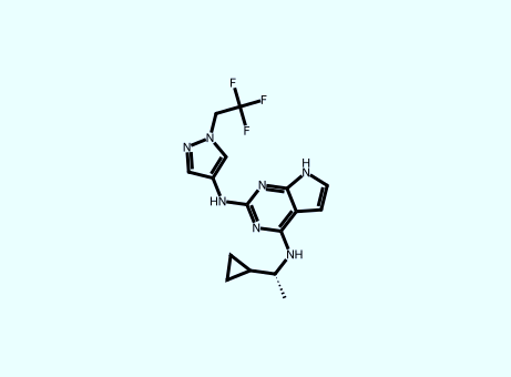 C[C@@H](Nc1nc(Nc2cnn(CC(F)(F)F)c2)nc2[nH]ccc12)C1CC1